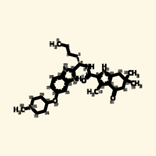 CCCC[C@H](NC(=O)c1[nH]c2c(c1C)C(=O)CC(C)(C)C2)c1nc2ccc(OC3CCN(C)CC3)cc2[nH]1